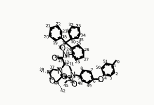 Cc1ccc(Oc2ccc(N(C[C@@H](C(=O)NOC(c3ccccc3)(c3ccccc3)c3ccccc3)N3C[C@@H](C)O[C@@H](C)C3)S(C)(=O)=O)cc2)cc1